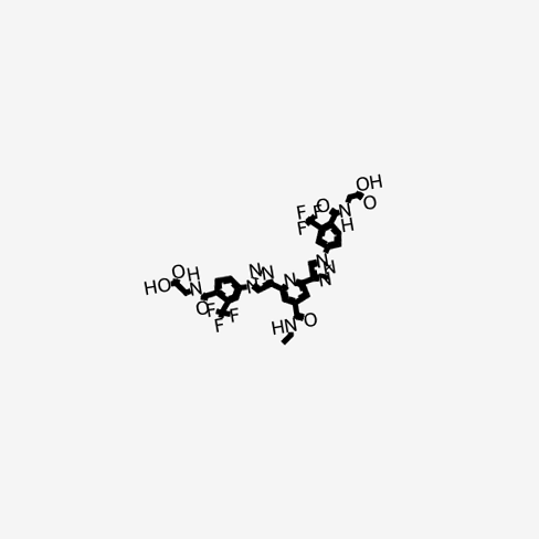 CCNC(=O)c1cc(-c2cn(-c3ccc(C(=O)NCC(=O)O)c(C(F)(F)F)c3)nn2)nc(-c2cn(-c3ccc(C(=O)NCC(=O)O)c(C(F)(F)F)c3)nn2)c1